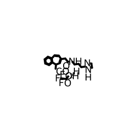 O=C(O)C(F)(F)F.O=C(O)CC1C=C(CC(=O)NCCCC2=NCCN2)C=Cc2ccccc21